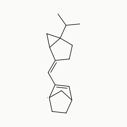 CC(C)C12CCC(=CC3=CC4CC[C]3C4)C1C2